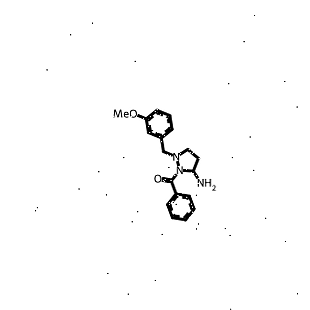 COc1cccc(CN2CCC(N)N2C(=O)c2ccccc2)c1